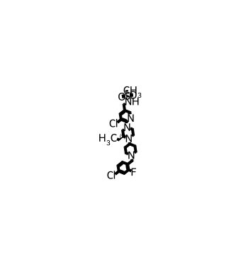 CC[C@H]1CN(c2ncc(CNS(C)(=O)=O)cc2Cl)CCN1C1CCN(Cc2ccc(Cl)cc2F)CC1